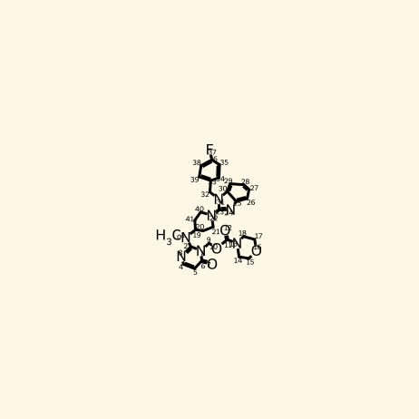 CN(c1nccc(=O)n1COC(=O)N1CCOCC1)C1CCN(c2nc3ccccc3n2Cc2ccc(F)cc2)CC1